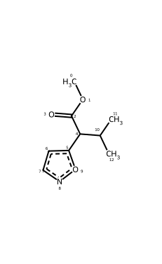 COC(=O)C(c1c[c]no1)C(C)C